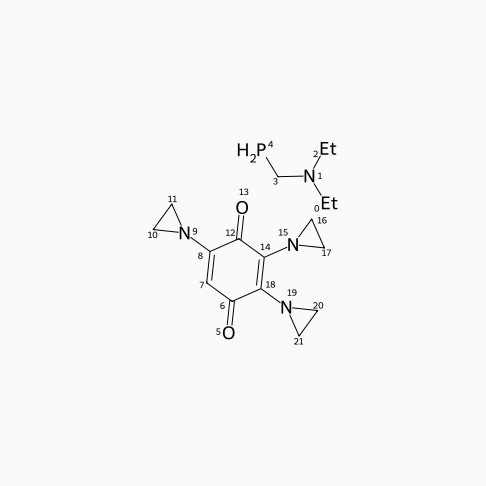 CCN(CC)CP.O=C1C=C(N2CC2)C(=O)C(N2CC2)=C1N1CC1